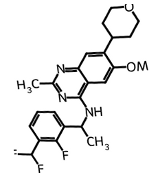 COc1cc2c(NC(C)c3cccc(C(F)F)c3F)nc(C)nc2cc1C1CCOCC1